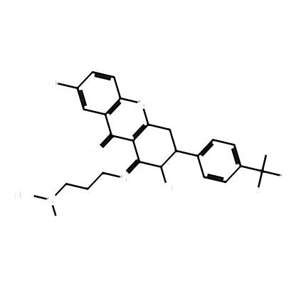 CC1/C(=N/CCCN(C)C)c2c([nH]c3ccc(Cl)cc3c2=O)CC1c1ccc(C(F)(F)F)cc1